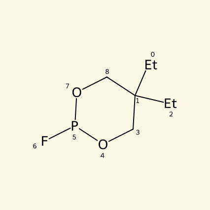 CCC1(CC)COP(F)OC1